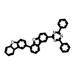 C1=CC2Oc3ccc(-c4cccc5c4oc4ccc(-c6nc(-c7ccccc7)nc(-c7ccccc7)n6)cc45)cc3C2C=C1